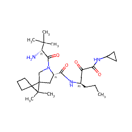 CCC[C@@H](NC(=O)[C@@H]1CC2(CN1C(=O)[C@H](N)C(C)(C)C)C(C)(C)C21CCC1)C(=O)C(=O)NC1CC1